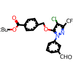 CC(C)(C)OC(=O)c1ccc(COc2c(Cl)c(C(F)(F)F)nn2-c2cccc(C=O)c2)cc1